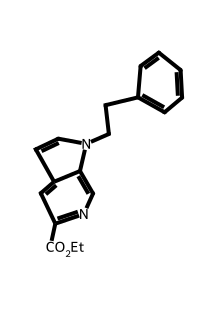 CCOC(=O)c1cc2ccn(CCc3ccccc3)c2cn1